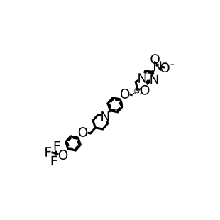 O=[N+]([O-])c1cn2c(n1)O[C@H](COc1ccc(N3CCC(COc4ccc(OC(F)(F)F)cc4)CC3)cc1)C2